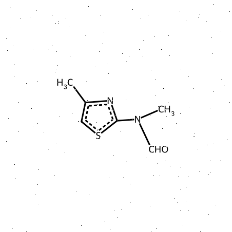 Cc1[c]sc(N(C)C=O)n1